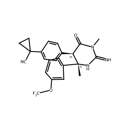 CN1C(=N)N[C@](C)(c2cccc(OC(F)(F)F)c2)[C@@H](c2ccc(C3(C#N)CC3)cc2)C1=O